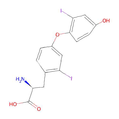 N[C@@H](Cc1ccc(Oc2ccc(O)cc2I)cc1I)C(=O)O